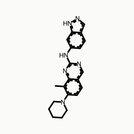 Cc1c(N2CCCCC2)ccc2cnc(Nc3ccc4cn[nH]c4c3)nc12